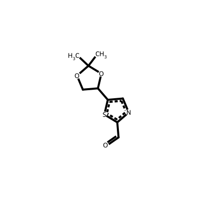 CC1(C)OCC(c2cnc(C=O)s2)O1